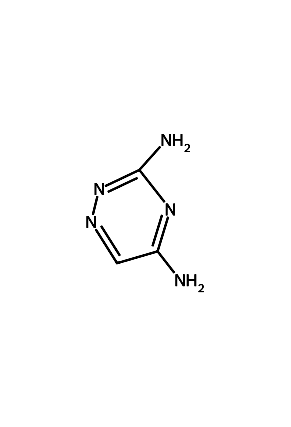 Nc1cnnc(N)n1